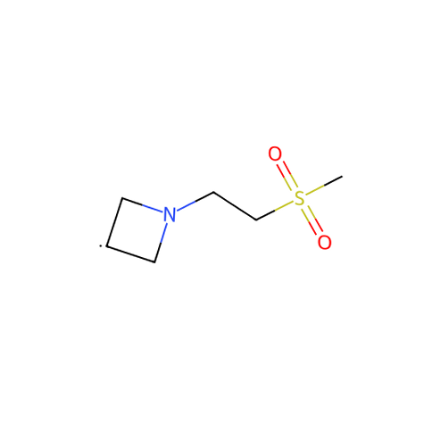 CS(=O)(=O)CCN1C[CH]C1